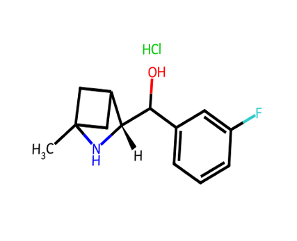 CC12CC(C1)[C@H](C(O)c1cccc(F)c1)N2.Cl